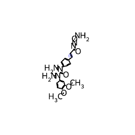 COc1ccc(N(N)C(=O)N(N)c2ccc(/C=C/C(=O)N=NON)cc2)cc1OC